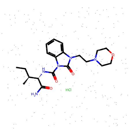 CC[C@H](C)[C@H](NC(=O)n1c(=O)n(CCN2CCOCC2)c2ccccc21)C(N)=O.Cl